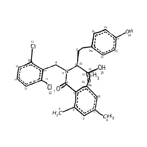 Cc1cc(C)c(C(=O)N(Cc2c(Cl)cccc2Cl)[C@@H](Cc2ccc(O)cc2)C(=O)O)c(C)c1